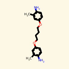 Cc1cc(OCCCCOc2ccc(N)c(C)c2)ccc1N